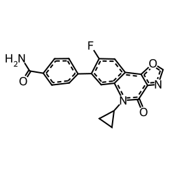 NC(=O)c1ccc(-c2cc3c(cc2F)c2ocnc2c(=O)n3C2CC2)cc1